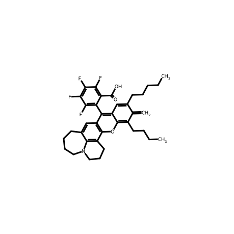 C=c1c(CCCCC)cc2c(c1CCCC)Oc1c(cc3c4c1CCCN4CCCC3)C=2c1c(F)c(F)c(F)c(F)c1C(=O)O